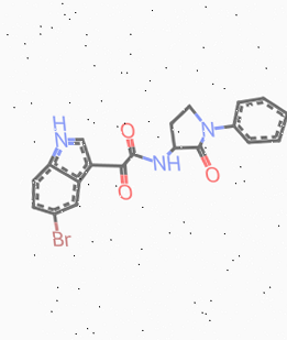 O=C(NC1CCN(c2ccccc2)C1=O)C(=O)c1c[nH]c2ccc(Br)cc12